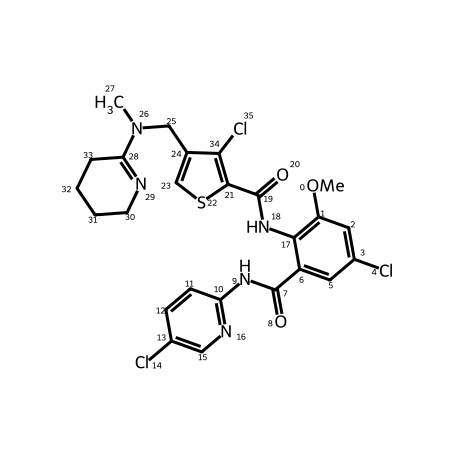 COc1cc(Cl)cc(C(=O)Nc2ccc(Cl)cn2)c1NC(=O)c1scc(CN(C)C2=NCCCC2)c1Cl